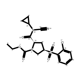 CCOC(=O)N1C[C@H](S(=O)(=O)c2ccccc2Cl)C[C@H]1C(=O)N(C#N)C1CC1